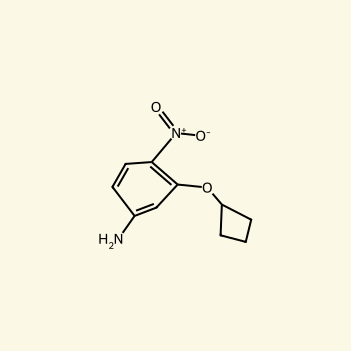 Nc1ccc([N+](=O)[O-])c(OC2CCC2)c1